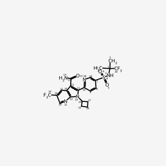 CC(C)(NS(=O)(=O)c1ccc(-c2c(C(N)=O)c3cc(C(F)(F)F)cnc3n2C2CCC2)nc1)C(F)(F)F